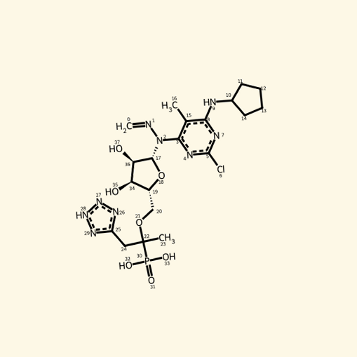 C=NN(c1nc(Cl)nc(NC2CCCC2)c1C)[C@@H]1O[C@H](COC(C)(Cc2nn[nH]n2)P(=O)(O)O)[C@@H](O)[C@H]1O